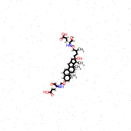 CC(CC[C@@]1(O)CC2CC3C4CCC5CC(OCN[C@@H](C=O)CCC(=O)O)CCC5(C)C4CCC3(C)C2[C@@H]1C)CON[C@@H](C=O)CCC(=O)O